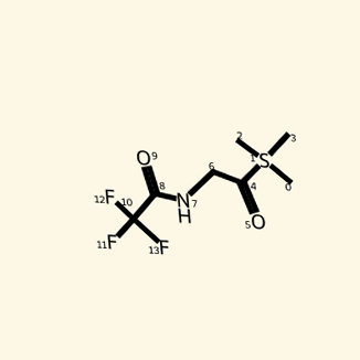 CS(C)(C)C(=O)CNC(=O)C(F)(F)F